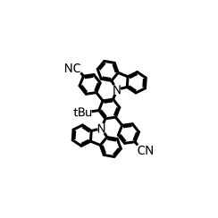 CC(C)(C)c1c(-c2ccc(C#N)cc2)c(-n2c3ccccc3c3ccccc32)cc(-c2ccc(C#N)cc2)c1-n1c2ccccc2c2ccccc21